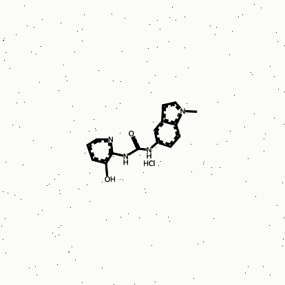 Cl.Cn1ccc2cc(NC(=O)Nc3ncccc3O)ccc21